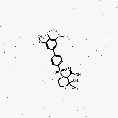 COc1cc(-c2ccc(S(=O)(=O)N3CCSC(C)(C)C3C(=O)O)cc2)cc(OC)c1OC